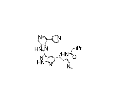 C=N/C=C(\C=C(/C)c1cnc2[nH]nc(-c3nc4c(-c5ccncc5)cncc4[nH]3)c2c1)NC(=O)CC(C)C